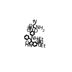 CCOP(=O)(OCC)c1ccc2c(c1)C(=C(Nc1ccc(N(C(CCN(C)C)C(N)=O)S(C)(=O)=O)cc1)c1ccccc1)C(=O)N2